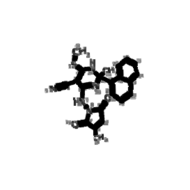 CSC1=C(C#N)C(NN2C(=O)C=C(C)C2=O)=NC(C)(c2cccc3ccccc23)N1